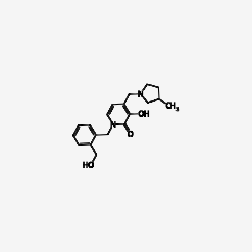 CC1CCN(Cc2ccn(Cc3ccccc3CO)c(=O)c2O)C1